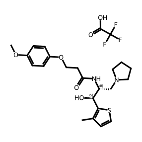 COc1ccc(OCCC(=O)N[C@H](CN2CCCC2)[C@H](O)c2sccc2C)cc1.O=C(O)C(F)(F)F